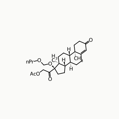 CCCOCO[C@]1(C(=O)COC(C)=O)CC[C@H]2[C@@H]3CCC4=CC(=O)CC[C@]4(C)[C@H]3CC[C@@]21C